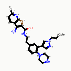 COCCn1cc(-c2cc(CCNC(O)c3sc4nc(C)ccc4c3N)ccc2N2CCNCC2)cn1